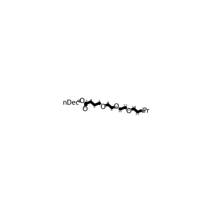 CCCCCCCCCCOC(=O)CCCOCCOCCOCCC(C)C